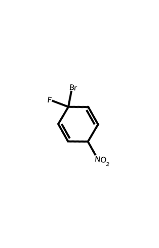 O=[N+]([O-])C1C=CC(F)(Br)C=C1